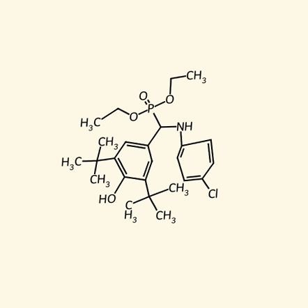 CCOP(=O)(OCC)C(Nc1ccc(Cl)cc1)c1cc(C(C)(C)C)c(O)c(C(C)(C)C)c1